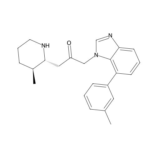 Cc1cccc(-c2cccc3ncn(CC(=O)C[C@H]4NCCC[C@@H]4C)c23)c1